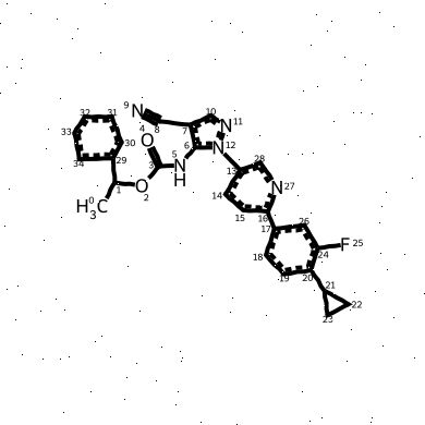 CC(OC(=O)Nc1c(C#N)cnn1-c1ccc(-c2ccc(C3CC3)c(F)c2)nc1)c1ccccc1